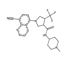 CN1CCC(NC(=O)C2CN(c3ccc(C#N)c4ncccc34)CC2C(F)(F)F)CC1